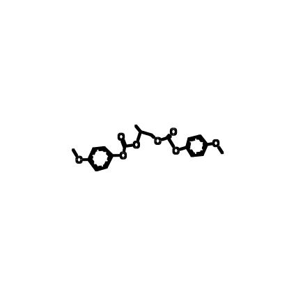 COc1ccc(OC(=O)OCC(C)OC(=O)Oc2ccc(OC)cc2)cc1